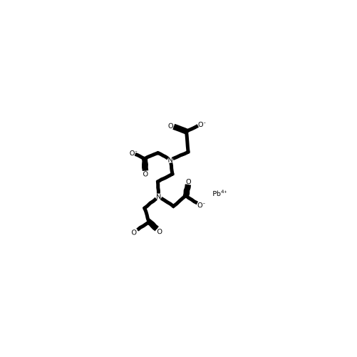 O=C([O-])CN(CCN(CC(=O)[O-])CC(=O)[O-])CC(=O)[O-].[Pb+4]